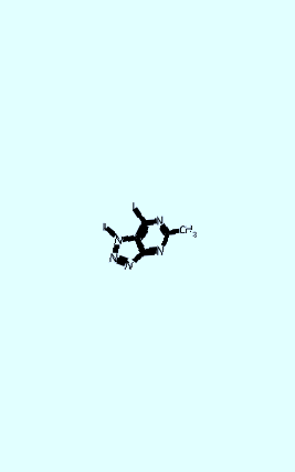 Cc1nc(I)c2c(nnn2I)n1